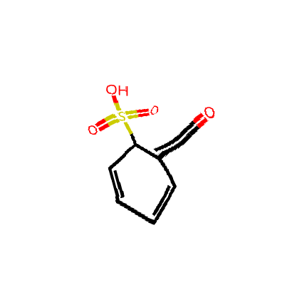 O=C=C1C=CC=CC1S(=O)(=O)O